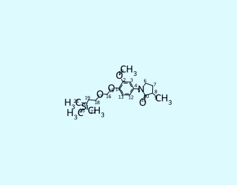 COc1cc(N2CCC(C)C2=O)ccc1OCOCC[Si](C)(C)C